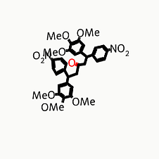 COc1cc(C(CC(=O)CC(c2ccc([N+](=O)[O-])cc2)c2cc(OC)c(OC)c(OC)c2)c2ccc([N+](=O)[O-])cc2)cc(OC)c1OC